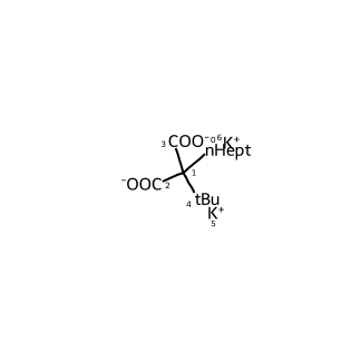 CCCCCCCC(C(=O)[O-])(C(=O)[O-])C(C)(C)C.[K+].[K+]